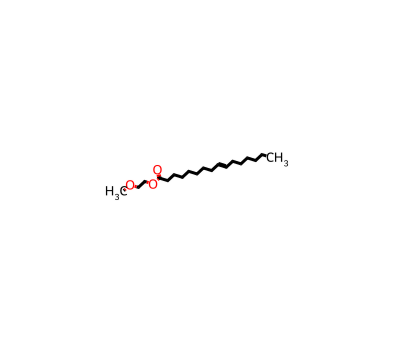 CCCCCC/C=C/CCCCCCCC(=O)OCCOC